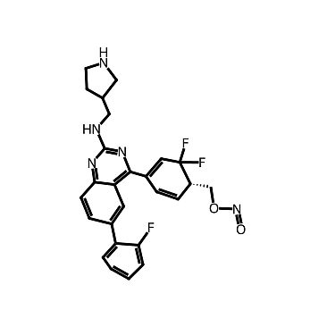 O=NOC[C@@H]1C=CC(c2nc(NCC3CCNC3)nc3ccc(-c4ccccc4F)cc23)=CC1(F)F